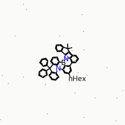 CCCCCCc1cc2c3c(c1)N1c4ccccc4C(c4ccccc4)(c4ccccc4)c4cccc(c41)B3n1c3c(c4cccc-2c41)C(C)(C)c1ccccc1-3